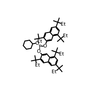 CCC(C)(C)c1cc(C(C)(C)CC)c2cc(OP(Oc3cc4c(C(C)(C)CC)cc(C(C)(C)CC)cc4cc3C(C)(C)CC)OC3CCCCC3)c(C(C)(C)CC)cc2c1